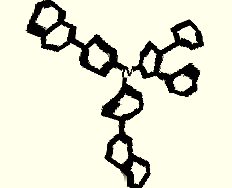 c1ccc(-c2ccc(N(c3ccc(-c4ccc5ccccc5c4)cc3)c3ccc(-c4ccc5ccccc5c4)cc3)cc2-c2ccccc2)cc1